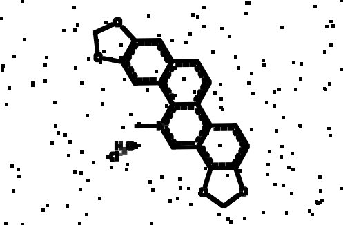 C[n+]1cc2c3c(ccc2c2ccc4cc5c(cc4c21)OCO5)OCO3.O.[Cl-]